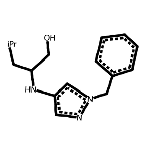 CC(C)CC(CO)Nc1cnn(Cc2ccccc2)c1